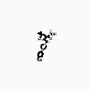 CC(C)(C)c1ccc(N2CCN(C(=O)C3NCC4(CC4)CC3C(=O)NO)CC2)cc1